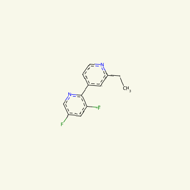 CCc1[c]c(-c2ncc(F)cc2F)ccn1